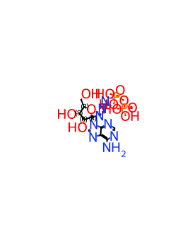 O=P(O)(O)OP(=O)(O)O.[N-]=[N+]=N[C@@]1(n2cnc3c(N)ncnc32)O[C@H](CO)[C@@H](O)[C@H]1O